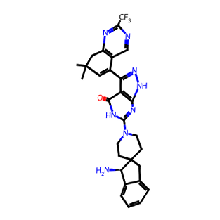 CC1(C)C=C(c2n[nH]c3nc(N4CCC5(CC4)Cc4ccccc4[C@H]5N)[nH]c(=O)c23)c2cnc(C(F)(F)F)nc2C1